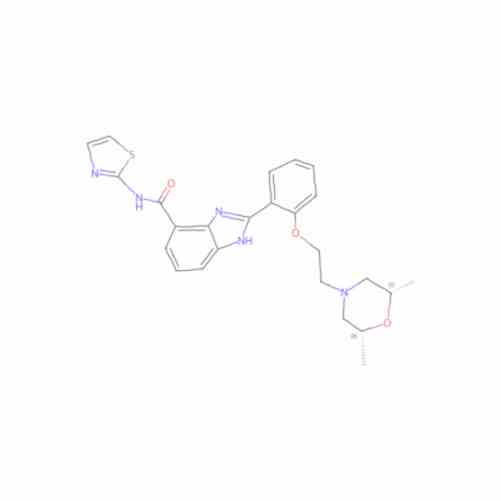 C[C@@H]1CN(CCOc2ccccc2-c2nc3c(C(=O)Nc4nccs4)cccc3[nH]2)C[C@H](C)O1